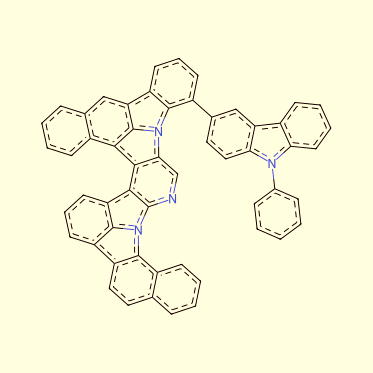 c1ccc(-n2c3ccccc3c3cc(-c4cccc5c6cc7ccccc7c7c8c9c%10cccc%11c%12ccc%13ccccc%13c%12n(c9ncc8n(c45)c67)c%11%10)ccc32)cc1